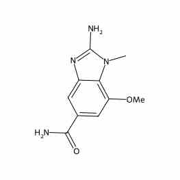 COc1cc(C(N)=O)cc2nc(N)n(C)c12